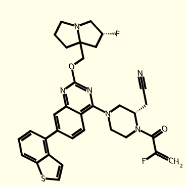 C=C(F)C(=O)N1CCN(c2nc(OCC34CCCN3C[C@H](F)C4)nc3cc(-c4cccc5sccc45)ccc23)C[C@@H]1CC#N